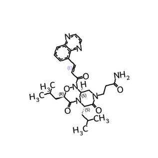 CC(C)C[C@H]1ON(C(=O)/C=C/c2cccc3nccnc23)[C@H]2CN(CCC(N)=O)C(=O)[C@H](CC(C)C)N2C1=O